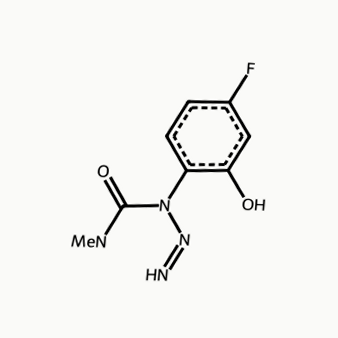 CNC(=O)N(N=N)c1ccc(F)cc1O